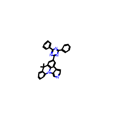 CC1(C)c2ccccc2-n2c3cnccc3c3cc(-c4nc(-c5ccccc5)nc(-c5ccccc5)n4)cc1c32